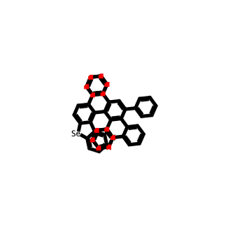 c1ccc(-c2ccccc2-c2c(-c3ccccc3)cc(-c3ccccc3)c(-c3c(-c4ccccc4)ccc4[se]c5ccccc5c34)c2-c2ccnnn2)cc1